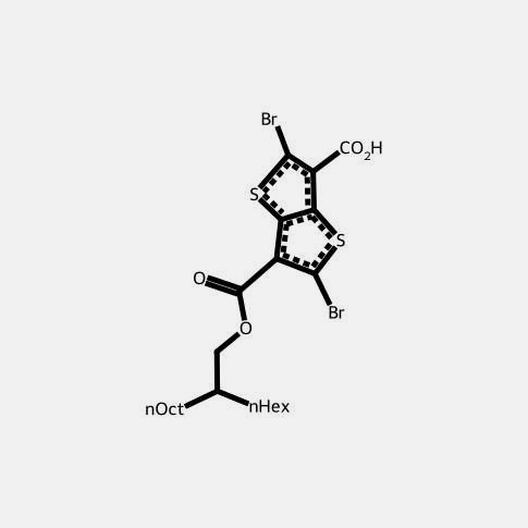 CCCCCCCCC(CCCCCC)COC(=O)c1c(Br)sc2c(C(=O)O)c(Br)sc12